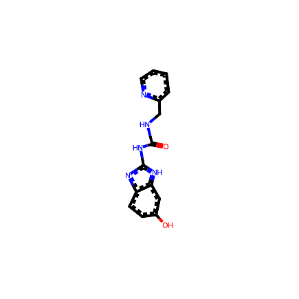 O=C(NCc1ccccn1)Nc1nc2ccc(O)cc2[nH]1